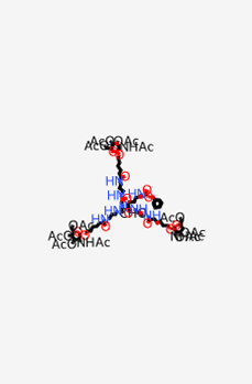 CC(=O)NC1C(OCCCCCC(=O)NCCCNC(=O)CN(C(C=O)NCCCNC(=O)CCCCCOC2OC(COC(C)=O)C(OC(C)=O)C(OC(C)=O)C2NC(C)=O)C(CCCCNC(=O)OCc2ccccc2)C(=O)NCCCNC(=O)CCCCCOC2OC(COC(C)=O)CC(OC(C)=O)(OC(C)=O)C2NC(C)=O)OC(COC(C)=O)C(OC(C)=O)C1OC(C)=O